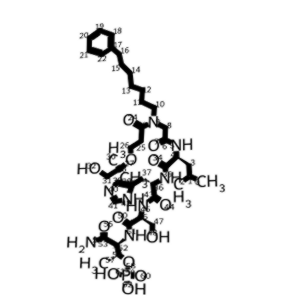 CC(C)C[C@H](NC(=O)CN(CCCCCCCc1ccccc1)C(=O)CCOC(C)(C)CO)C(=O)N[C@@H](Cc1cnc[nH]1)C(=O)N[C@@H](CO)C(=O)N[C@H](C(N)=O)[C@@H](C)OP(=O)(O)O